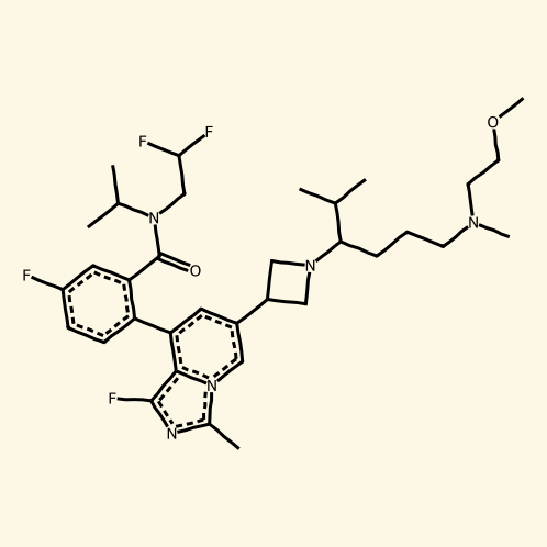 COCCN(C)CCCC(C(C)C)N1CC(c2cc(-c3ccc(F)cc3C(=O)N(CC(F)F)C(C)C)c3c(F)nc(C)n3c2)C1